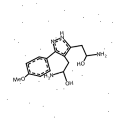 COc1ccc(-c2n[nH]c(CC(N)O)c2CC(N)O)cc1